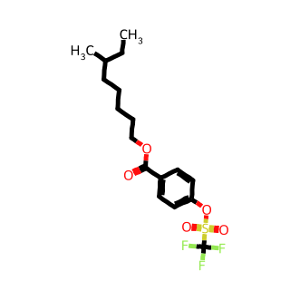 CCC(C)CCCCCOC(=O)c1ccc(OS(=O)(=O)C(F)(F)F)cc1